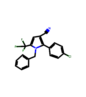 N#Cc1cc(C(F)(F)F)n(Cc2ccccc2)c1-c1ccc(Cl)cc1